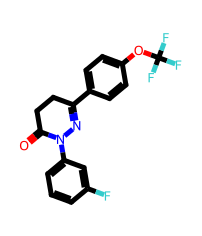 O=C1CCC(c2ccc(OC(F)(F)F)cc2)=NN1c1cccc(F)c1